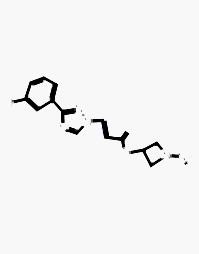 O=C(/C=C/n1cnc(-c2cccc(Cl)c2)n1)OC1CN(NCl)C1